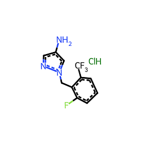 Cl.Nc1cnn(Cc2c(F)cccc2C(F)(F)F)c1